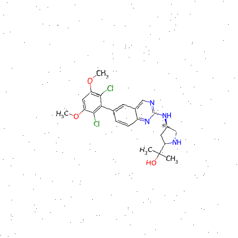 COc1cc(OC)c(Cl)c(-c2ccc3nc(N[C@H]4CNC(C(C)(C)O)C4)ncc3c2)c1Cl